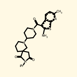 Cc1ccc2c(C(=O)N3CCC(N4CCCC5(CC(=O)N(C(C)C)C5=O)C4)CC3)c(N)sc2n1